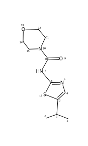 CC(C)c1cnc(NC(=O)N2CCOCC2)s1